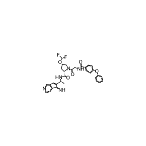 C[C@H](NC(=O)[C@@H]1C[C@@H](OC(F)F)CN1C(=O)CNC(=O)c1ccc(Oc2ccccc2)cc1)C1=Cc2cnccc2C1=N